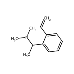 C=Cc1ccccc1C(C)N(C)C